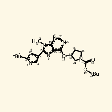 Cn1c(-c2cnc(C(C)(C)C)s2)nc2c(O[C@H]3CCN(C(=O)OC(C)(C)C)C3)ncnc21